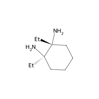 CC[C@@]1(N)CCCC[C@]1(N)CC